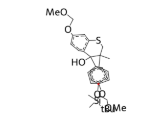 COCOc1ccc(C2(C)CSc3cc(OCOC)ccc3C2(O)c2ccc(O[Si](C)(C)C(C)(C)C)cc2)cc1